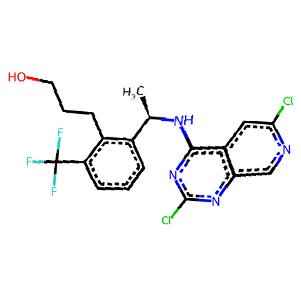 C[C@@H](Nc1nc(Cl)nc2cnc(Cl)cc12)c1cccc(C(F)(F)F)c1CCCO